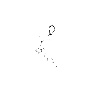 COc1cccc(CNC(=O)c2nc3ccc(F)c(OCC4COC(CS(C)(=O)=O)CO4)c3c(=O)[nH]2)c1